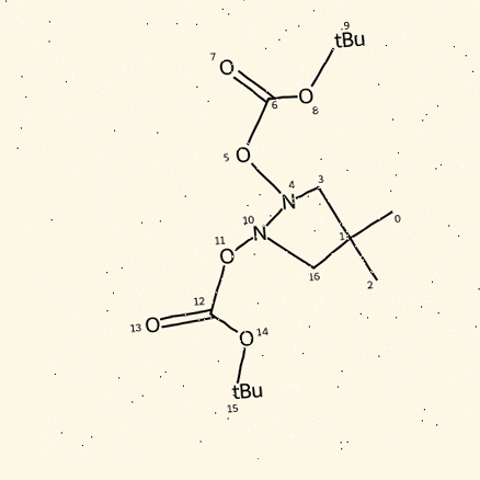 CC1(C)CN(OC(=O)OC(C)(C)C)N(OC(=O)OC(C)(C)C)C1